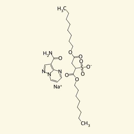 CCCCCCCCOC(=O)CC(C(=O)OCCCCCCCC)S(=O)(=O)[O-].NC(=O)c1cnn2cccnc12.[Na+]